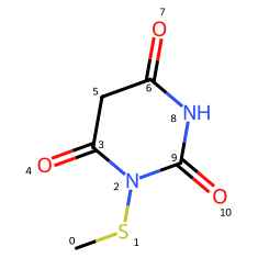 CSN1C(=O)CC(=O)NC1=O